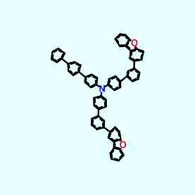 c1ccc(-c2ccc(-c3ccc(N(c4ccc(-c5cccc(-c6ccc7oc8ccccc8c7c6)c5)cc4)c4ccc(-c5cccc(-c6ccc7oc8ccccc8c7c6)c5)cc4)cc3)cc2)cc1